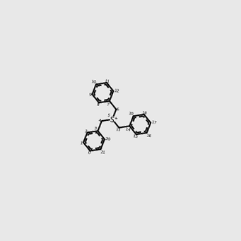 c1ccc(C[S+](Cc2ccccc2)Cc2ccccc2)cc1